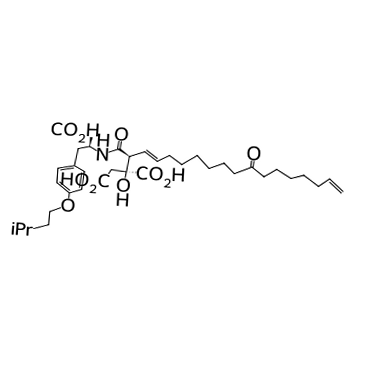 C=CCCCCCC(=O)CCCCCC/C=C/[C@H](C(=O)N[C@@H](Cc1ccc(OCCC(C)C)cc1)C(=O)O)[C@@](O)(CC(=O)O)C(=O)O